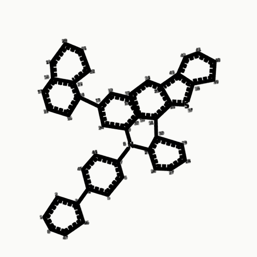 c1ccc(-c2ccc(N(c3cccc(-c4cccc5ccccc45)c3)c3ccccc3-c3cccc4c3sc3ccccc34)cc2)cc1